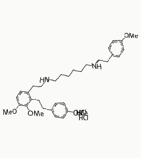 COc1ccc(CCNCCCCCCNCCc2ccc(OC)c(OC)c2CCc2ccc(OC)cc2)cc1.Cl.Cl